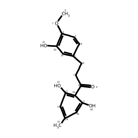 COc1ccc(CCC(=O)c2c(O)cc(C)cc2O)cc1O